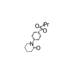 CC(C)S(=O)(=O)c1ccc(N2CCCCC2=O)cc1